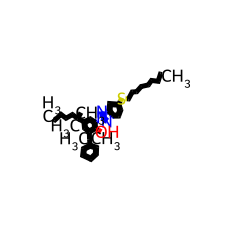 CCCCCCCCCSc1ccc2nn(-c3cc(C(C)(C)CCCCC)cc(C(C)(C)c4ccccc4)c3O)nc2c1